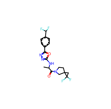 CC(Nc1nnc(-c2ccc(C(F)F)cc2)o1)C(=O)N1CCC2(C1)CC2(F)F